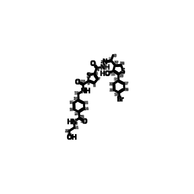 C/C(=N/NC(=O)c1ccc(C(=O)NCc2ccc(C(=O)NCCO)cc2)s1)c1csc(-c2ccc(Br)cc2)c1O